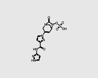 O=C(Nc1cc[nH]n1)c1ccn(C2=CC3CN(C2)C(=O)N3OS(=O)(=O)O)n1